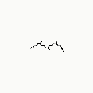 CC#CCC=C(C)CCCC(C)CCCC(C)CCCC(C)C